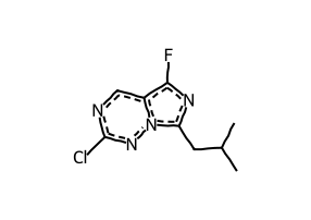 CC(C)Cc1nc(F)c2cnc(Cl)nn12